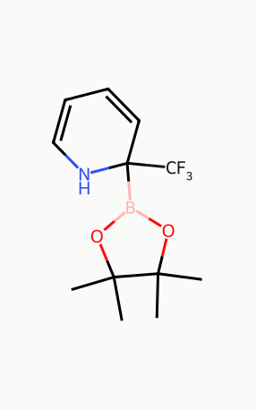 CC1(C)OB(C2(C(F)(F)F)C=CC=CN2)OC1(C)C